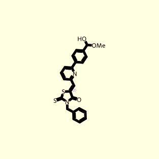 COC(O)c1ccc(-c2cccc(/C=C3\SC(=S)N(Cc4ccccc4)C3=O)n2)cc1